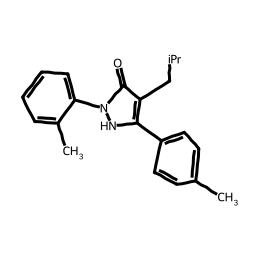 Cc1ccc(-c2[nH]n(-c3ccccc3C)c(=O)c2CC(C)C)cc1